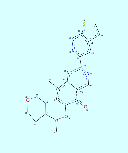 Cc1cc(OC(C)C2CCOCC2)c(=O)c2c[nH]c(-c3cc4ccsc4cn3)nc1-2